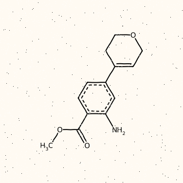 COC(=O)c1ccc(C2=CCOCC2)cc1N